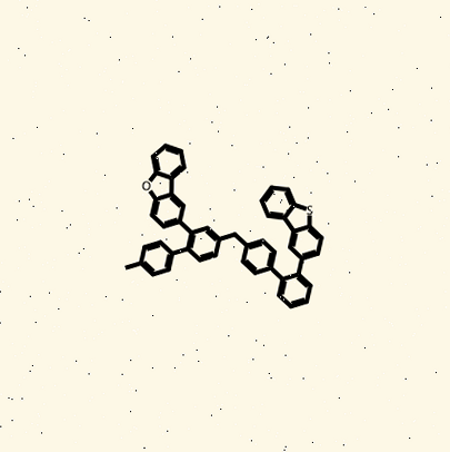 Cc1ccc(-c2ccc(Cc3ccc(-c4ccccc4-c4ccc5sc6ccccc6c5c4)cc3)cc2-c2ccc3oc4ccccc4c3c2)cc1